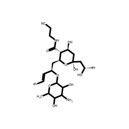 CC(C)/C=C/[C@@H](C[C@@H]1O[C@](O)(C[C@@H](O)C(C)C)C[C@H](O)[C@H]1C(=O)NCCC#N)OC1OC(C)C(O)C(N)C1O